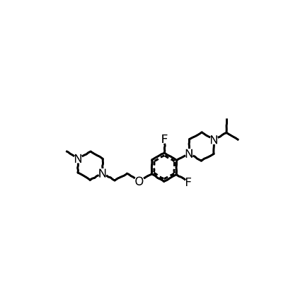 CC(C)N1CCN(c2c(F)cc(OCCN3CCN(C)CC3)cc2F)CC1